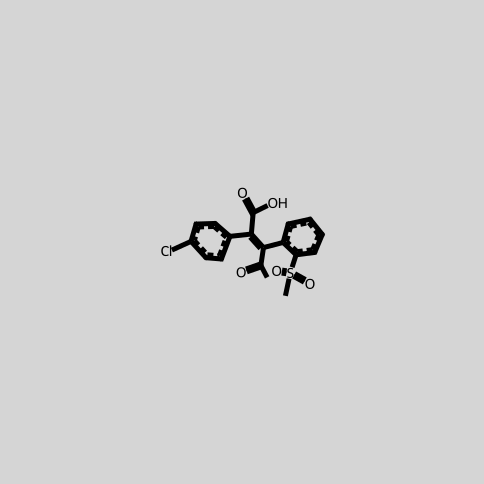 CC(=O)C(=C(C(=O)O)c1ccc(Cl)cc1)c1ccccc1S(C)(=O)=O